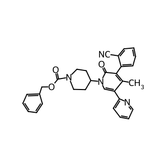 Cc1c(-c2ccccn2)cn(C2CCN(C(=O)OCc3ccccc3)CC2)c(=O)c1-c1ccccc1C#N